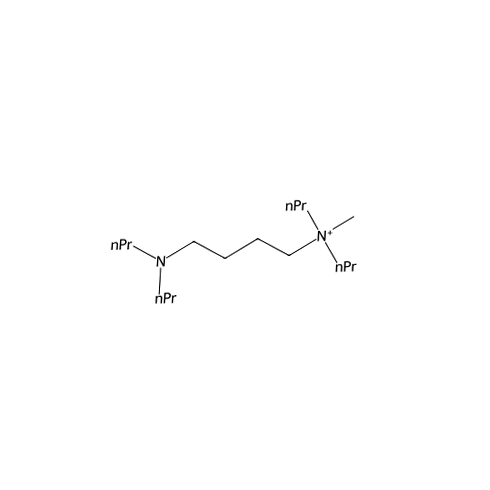 CCCN(CCC)CCCC[N+](C)(CCC)CCC